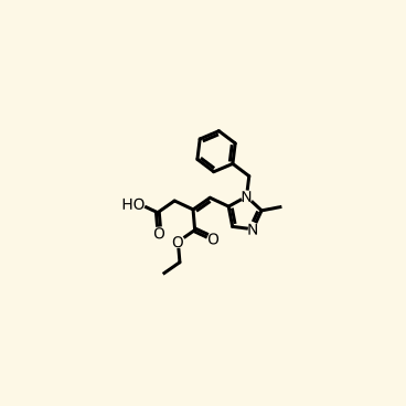 CCOC(=O)/C(=C\c1cnc(C)n1Cc1ccccc1)CC(=O)O